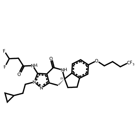 O=C(CC(F)F)Nc1c2c(nn1CCC1CC1)C[C@]1(CCc3cc(OCCCC(F)(F)F)ccc31)NC2=O